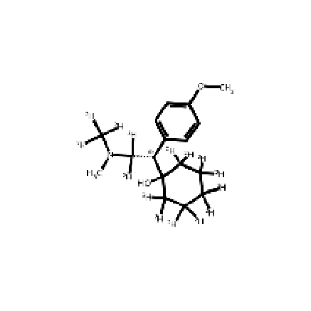 [2H]C([2H])([2H])N(C)C([2H])([2H])[C@H](c1ccc(OC)cc1)C1(O)C([2H])([2H])C([2H])([2H])C([2H])([2H])C([2H])([2H])C1([2H])[2H]